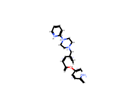 C=C(N)/C=C\C(=C/C)OC(=C)/C=C\C(=C/C)CN1CCN(c2ccccn2)CC1